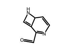 O=CC1=NC=CC2NC=C12